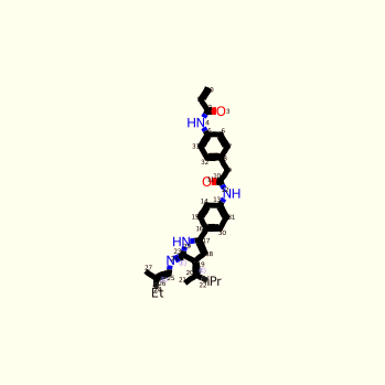 C=CC(=O)Nc1ccc(CC(=O)Nc2ccc(C3=CC(=C(/C)C(C)C)/C(=N\C=C(/C)CC)N3)cc2)cc1